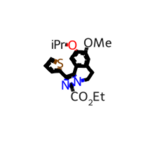 CCOC(=O)c1nc(-c2cccs2)c2n1CCc1cc(OC)c(OC(C)C)cc1-2